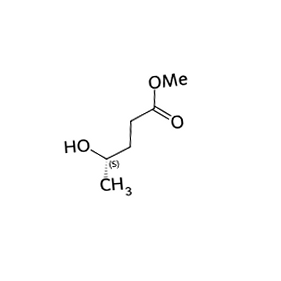 COC(=O)CC[C@H](C)O